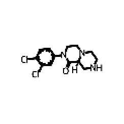 O=C1[C@H]2CNCCN2CCN1c1ccc(Cl)c(Cl)c1